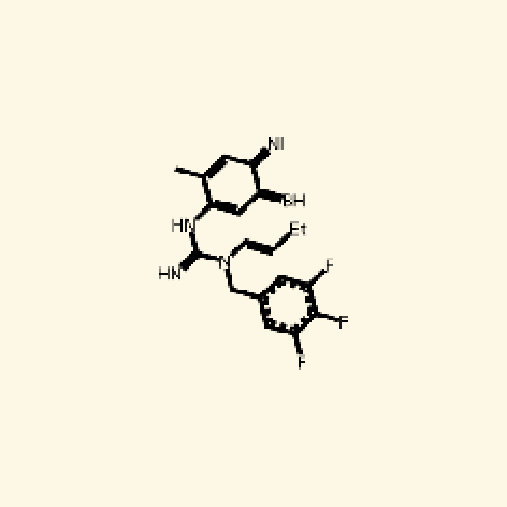 B=C1C=C(NC(=N)N(/C=C/CC)Cc2cc(F)c(F)c(F)c2)C(C)=CC1=N